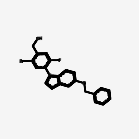 OCc1cc(F)c(-n2ccc3cc(OCc4ccccc4)ccc32)cc1Br